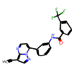 C#Cc1cnn2c(-c3cccc(NC(=O)c4cccc(C(F)(F)F)c4)c3)ccnc12